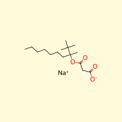 CCCCCCCC(C)(OC(=O)CC(=O)[O-])C(C)(C)C.[Na+]